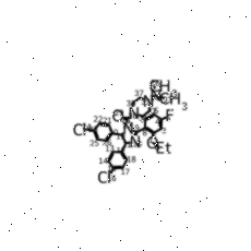 CCOc1cc(F)ccc1C1=NC(c2ccc(Cl)cc2)C(c2ccc(Cl)cc2)N1C(=O)N1CCN(N(C)C)CC1